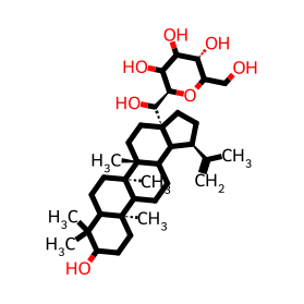 C=C(C)[C@@H]1CC[C@]2(C(O)[C@@H]3OC(CO)[C@@H](O)C(O)C3O)CC[C@]3(C)C(CCC4[C@@]5(C)CCC(O)C(C)(C)C5CC[C@]43C)C12